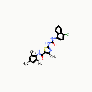 Cc1cc(C)c(NC(=O)c2sc(NC(=O)Nc3ccc(Cl)c4ccccc34)nc2C)c(C)c1